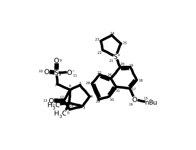 CC1(C)C2CCC1(CS(=O)(=O)[O-])C(=O)C2.CCCCOc1ccc([S+]2CCCC2)c2ccccc12